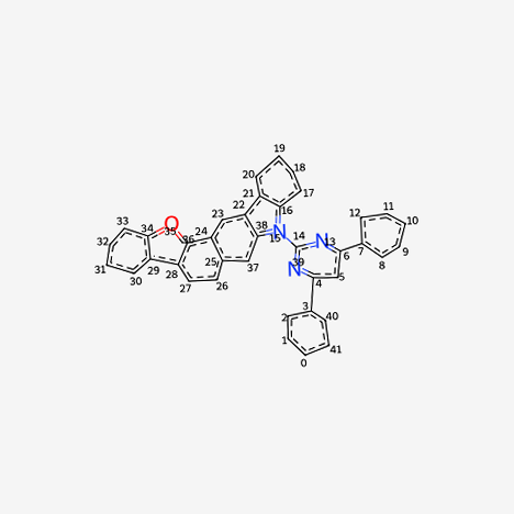 c1ccc(-c2cc(-c3ccccc3)nc(-n3c4ccccc4c4cc5c(ccc6c7ccccc7oc56)cc43)n2)cc1